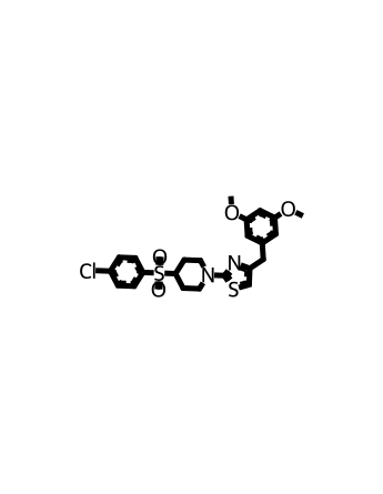 COc1cc(Cc2csc(N3CCC(S(=O)(=O)c4ccc(Cl)cc4)CC3)n2)cc(OC)c1